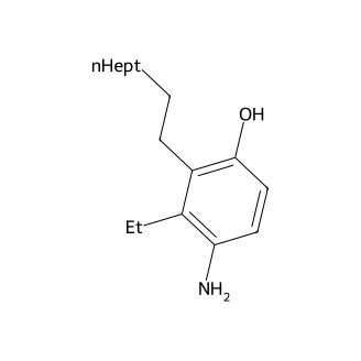 CCCCCCCCCc1c(O)ccc(N)c1CC